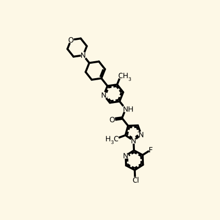 Cc1cc(NC(=O)c2cnn(-c3ncc(Cl)cc3F)c2C)cnc1C1=CCC(N2CCOCC2)CC1